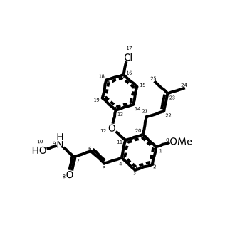 COc1ccc(/C=C/C(=O)NO)c(Oc2ccc(Cl)cc2)c1CC=C(C)C